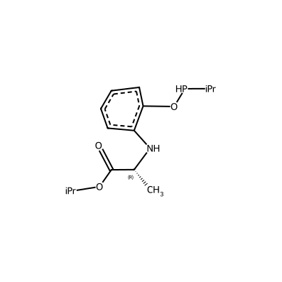 CC(C)OC(=O)[C@@H](C)Nc1ccccc1OPC(C)C